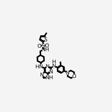 Cc1ccc(S(=O)(=O)NCC2CCC(Nc3nc(Nc4ccc(N5CCOCC5)cc4C)nc4[nH]cnc34)CC2)s1